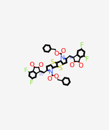 O=C1C(=O)c2c(F)cc(F)cc2/C1=C/c1cc2sc3c(sc4cc(/C=C5\C(=O)C(=O)c6c(F)cc(F)cc65)n(C(=O)OCc5ccccc5)c43)c2n1C(=O)OCc1ccccc1